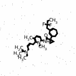 C=C(C)N(CC)C/C=C\CC1=C(C)C=CC(NC(=O)C2(C3=CC(CC(F)(F)CC)=CCCC3)CC2)N1C